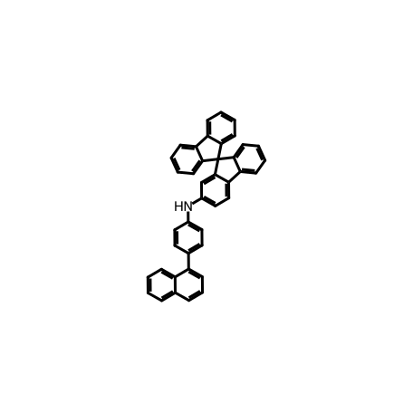 c1ccc2c(c1)-c1ccccc1C21c2ccccc2-c2ccc(Nc3ccc(-c4cccc5ccccc45)cc3)cc21